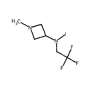 CN1CC(N(I)CC(F)(F)F)C1